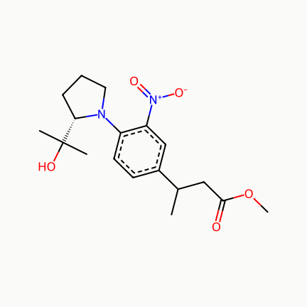 COC(=O)CC(C)c1ccc(N2CCC[C@H]2C(C)(C)O)c([N+](=O)[O-])c1